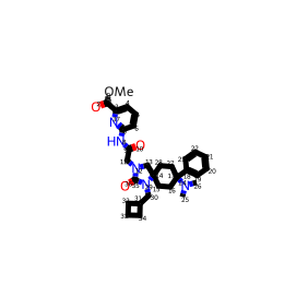 COC(=O)c1cccc(NC(=O)CN2CC3(CCC(c4ccccc4)(N(C)C)CC3)N(CC3CCC3)C2=O)n1